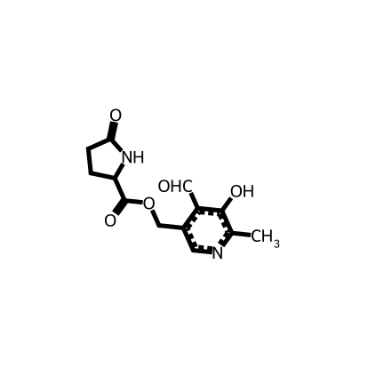 Cc1ncc(COC(=O)C2CCC(=O)N2)c(C=O)c1O